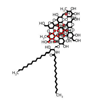 CCCCCCCCCCCCC/C=C/[C@@H](O)[C@H](CO[C@@H]1OC(CO)[C@@H](O[C@@H]2OC(CO)[C@H](O)[C@H](O[C@@H]3OC(CO)[C@@H](O[C@H]4OC(C)[C@@H](O)C(O)[C@@H]4O)[C@H](O[C@@H]4OC(CO)[C@H](O)[C@H](O[C@@H]5OC(CO)[C@@H](O[C@@H]6OC(CO)[C@H](O)[C@H](O)C6O[C@H]6OC(C)[C@@H](O)C(O)[C@@H]6O)[C@H](O[C@H]6OC(C)[C@@H](O)C(O)[C@@H]6O)C5NC(C)=O)C4O)C3NC(C)=O)C2O)[C@H](O)C1O)NC(=O)CCCCCCCCCCCCCCC